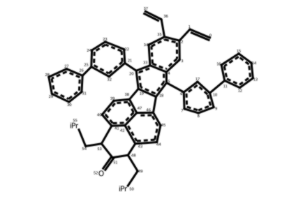 C=Cc1cc2c(-c3cccc(-c4ccccc4)c3)c3c(c(-c4cccc(-c5ccccc5)c4)c2cc1C=C)-c1ccc2c4c(ccc-3c14)C(CC(C)C)C(=O)C2CC(C)C